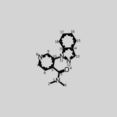 CN(C)C(=O)c1ccncc1-n1ncc2ccccc21